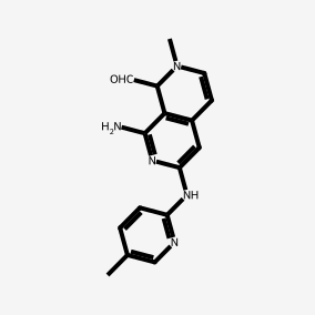 Cc1ccc(Nc2cc3c(c(N)n2)C(C=O)N(C)C=C3)nc1